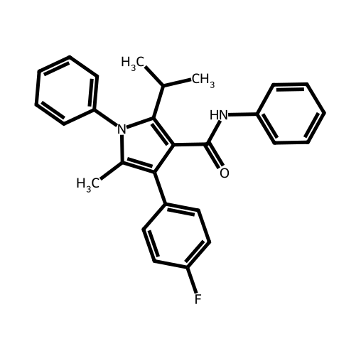 Cc1c(-c2ccc(F)cc2)c(C(=O)Nc2ccccc2)c(C(C)C)n1-c1ccccc1